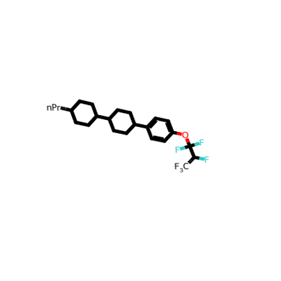 CCCC1CCC(C2CCC(c3ccc(OC(F)(F)C(F)C(F)(F)F)cc3)CC2)CC1